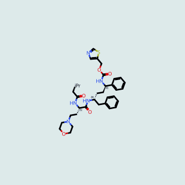 CC(C)CC(=O)N[C@@H](CCN1CCOCC1)C(=O)N[C@H](CC[C@@H](NC(=O)OCc1cncs1)c1ccccc1)Cc1ccccc1